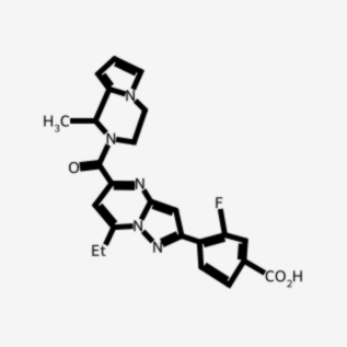 CCc1cc(C(=O)N2CCn3cccc3C2C)nc2cc(-c3ccc(C(=O)O)cc3F)nn12